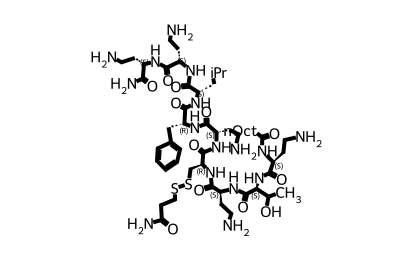 CCCCCCCCC(=O)N[C@@H](CCN)C(=O)N[C@H](C(=O)N[C@@H](CCN)C(=O)N[C@@H](CSSCCC(N)=O)C(=O)N[C@@H](CCN)C(=O)N[C@H](Cc1ccccc1)C(=O)N[C@@H](CC(C)C)C(=O)N[C@@H](CCN)C(=O)N[C@@H](CCN)C(N)=O)C(C)O